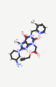 C#CCOC(=O)Cn1c(=O)n(Cc2ncccc2C#N)c(=O)c2c1nc(N1CCCC(N)C1)n2CC